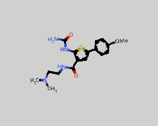 COc1ccc(-c2cc(C(=O)NCCN(C)C)c(NC(N)=O)s2)cc1